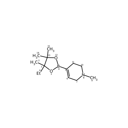 CCC1(C)OB(C2=CCN(C)CC2)OC1(C)C